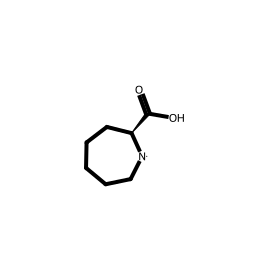 O=C(O)[C@@H]1CCCCC[N]1